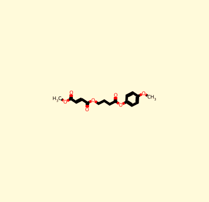 COC(=O)/C=C/C(=O)OCCCC(=O)Oc1ccc(OC)cc1